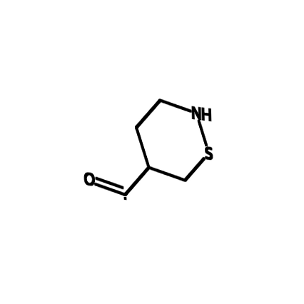 O=[C]C1CCNSC1